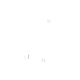 CC(N)COc1ccc2ncccc2c1